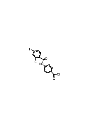 O=C(Cl)c1ccc(NC(=O)c2ccc(F)cc2Cl)nc1